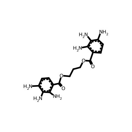 Nc1ccc(C(=O)OCCCOC(=O)c2ccc(N)c(N)c2N)c(N)c1N